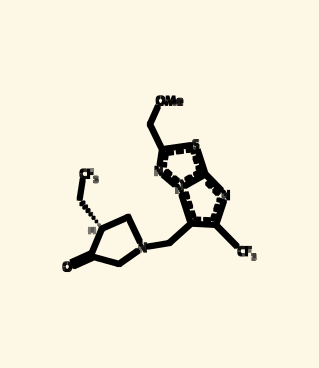 COCc1nn2c(CN3CC(=O)[C@H](CC(F)(F)F)C3)c(C(F)(F)F)nc2s1